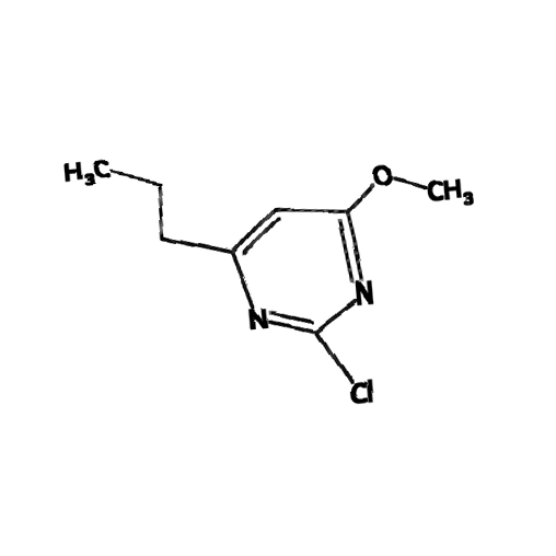 CCCc1cc(OC)nc(Cl)n1